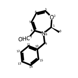 C[C@@H]1OC=CC=C(C=O)N1Cc1ccccc1